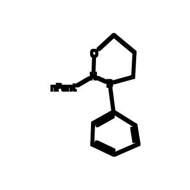 CCCCCN1OCCCB1c1ccccc1